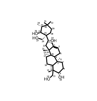 CC1=CCC2[C@@]3(C)CC[C@H](O)[C@](C)(CO)C3CC[C@@]2(C)[C@]1(C)C[C@@H](O)[C@]1(CO)CCC(C)(C)[C@@H](C)[C@@H]1O